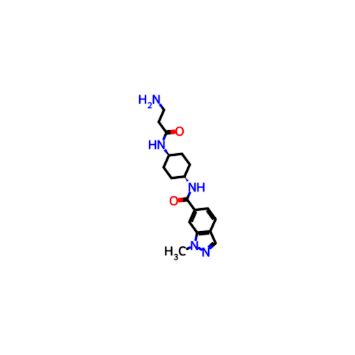 Cn1ncc2ccc(C(=O)N[C@H]3CC[C@H](NC(=O)CCN)CC3)cc21